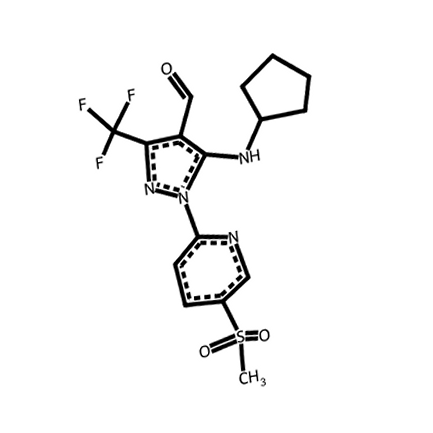 CS(=O)(=O)c1ccc(-n2nc(C(F)(F)F)c(C=O)c2NC2CCCC2)nc1